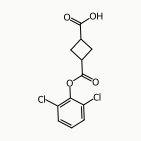 O=C(O)C1CC(C(=O)Oc2c(Cl)cccc2Cl)C1